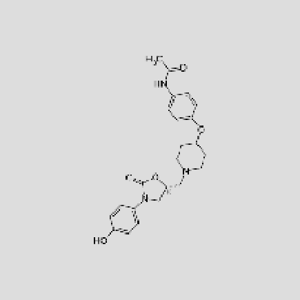 CC(=O)Nc1ccc(OC2CCN(C[C@@H]3CN(c4ccc(O)cc4)C(=O)O3)CC2)cc1